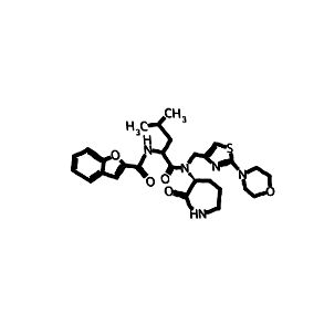 CC(C)CC(NC(=O)c1cc2ccccc2o1)C(=O)N(Cc1csc(N2CCOCC2)n1)[C@H]1CCCNCC1=O